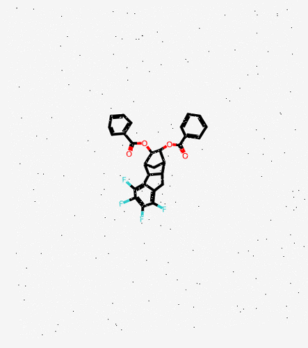 O=C(OC1C2CC(C1OC(=O)c1ccccc1)C1c3c(F)c(F)c(F)c(F)c3CC21)c1ccccc1